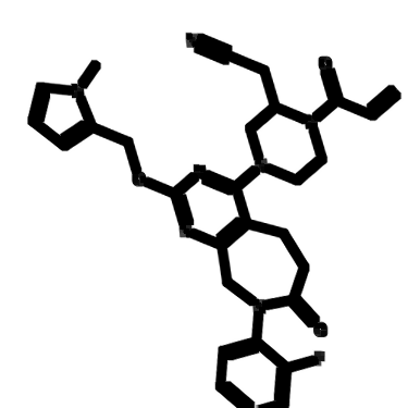 C=CC(=O)N1CCN(c2nc(OCc3cccn3C)nc3c2CCC(=O)N(c2ccccc2F)C3)CC1CC#N